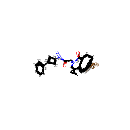 O=C(CN1CC2(CC2)c2cc(Br)ccc2C1=O)N[C@H]1C[C@H](c2ccccc2)C1